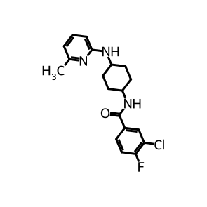 Cc1cccc(NC2CCC(NC(=O)c3ccc(F)c(Cl)c3)CC2)n1